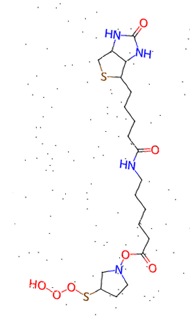 O=C(CCCCC1SCC2NC(=O)NC21)NCCCCCC(=O)ON1CCC(SOOO)C1